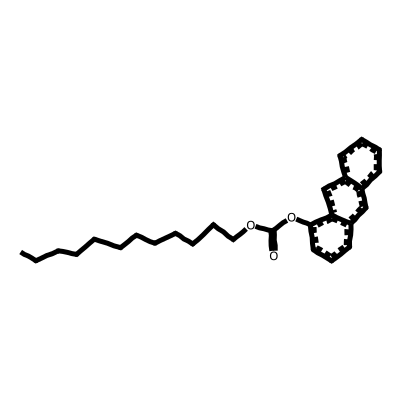 CCCCCCCCCCCCOC(=O)Oc1cccc2cc3ccccc3cc12